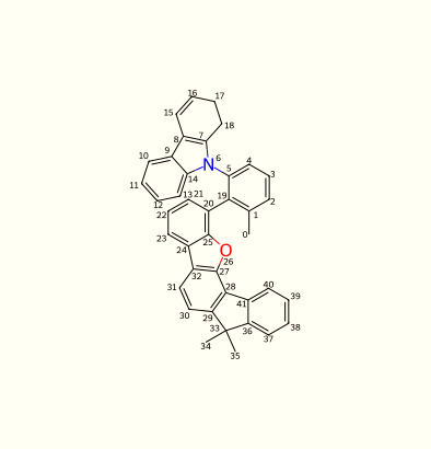 Cc1cccc(-n2c3c(c4ccccc42)C=CCC3)c1-c1cccc2c1oc1c3c(ccc12)C(C)(C)c1ccccc1-3